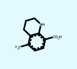 O=C(O)c1ccc(C(F)(F)F)c2c1NCCC2